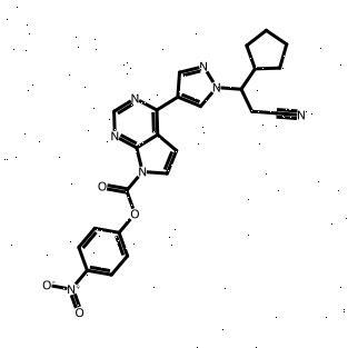 N#CCC(C1CCCC1)n1cc(-c2ncnc3c2ccn3C(=O)Oc2ccc([N+](=O)[O-])cc2)cn1